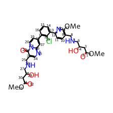 COC(=O)CC(O)CNCc1ccc(-c2cccc(-c3ccn4c(=O)c(CNCC(O)CC(=O)OC)cnc4c3)c2Cl)nc1OC